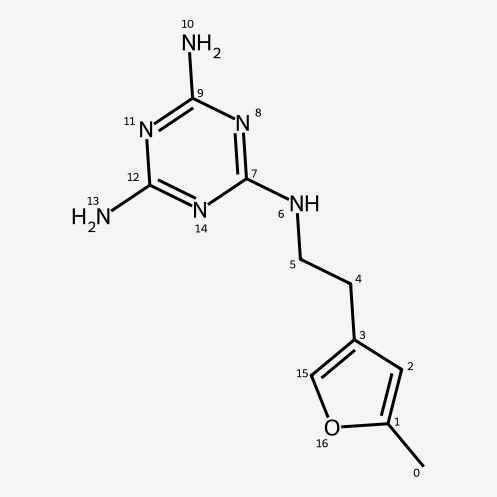 Cc1cc(CCNc2nc(N)nc(N)n2)co1